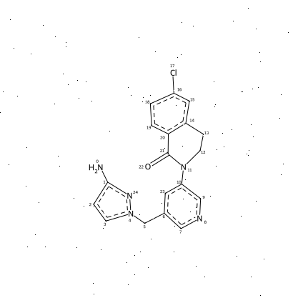 Nc1ccn(Cc2cncc(N3CCc4cc(Cl)ccc4C3=O)c2)n1